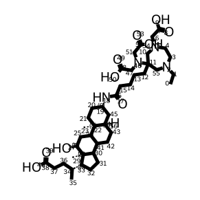 CCN1CCN(CC(=O)O)CC(CCCCC(=O)N[C@H]2CC[C@]3(C)C4C[C@H](O)[C@@]5(C)C(CC[C@@H]5C(C)CCC(=O)O)C4CC[C@@H]3C2)(N(CC(=O)O)CC(=O)O)C1